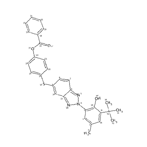 Cc1cc(-n2nc3ccc(Sc4ccc(OC(=O)c5ccccc5)cc4)cc3n2)c(O)c(C(C)(C)C)c1